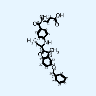 CCC(Nc1ccc(C(=O)N(C)CCC(=O)O)cc1)C1Oc2ccc(OCc3ccccc3)cc2C1C